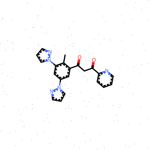 Cc1c(C(=O)CC(=O)c2ccccn2)cc(-n2cccn2)cc1-n1cccn1